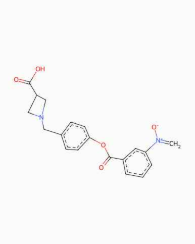 C=[N+]([O-])c1cccc(C(=O)Oc2ccc(CN3CC(C(=O)O)C3)cc2)c1